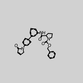 O=C(Nc1cccc(-c2ccc(N3CC=CC3=O)cc2)c1)C1CCCN1C(=O)OCc1ccccc1